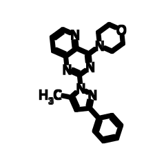 Cc1cc(-c2ccccc2)nn1-c1nc(N2CCOCC2)c2ncccc2n1